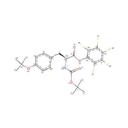 CC(C)(C)OC(=O)N[C@@H](Cc1ccc(OC(C)(C)C)cc1)C(=O)Oc1c(F)c(F)c(F)c(F)c1F